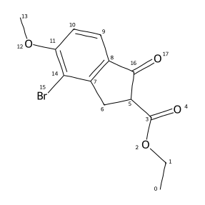 CCOC(=O)C1Cc2c(ccc(OC)c2Br)C1=O